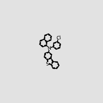 Clc1cccc(N(c2ccc3sc4ccccc4c3c2)c2cccc3ccccc23)c1